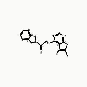 Cc1sc2ncnc(SCC(=O)N3Cc4ccccc4C3)c2c1C